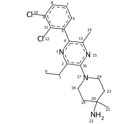 CCc1nc(-c2cccc(Cl)c2Cl)c(C)nc1N1CCC(C)(N)CC1